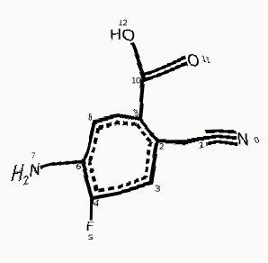 N#Cc1cc(F)c(N)cc1C(=O)O